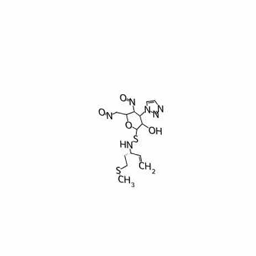 C=C[C@H](CCSC)NSC1OC(CN=O)C(N=O)C(n2ccnn2)C1O